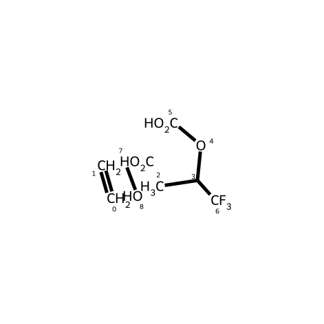 C=C.CC(OC(=O)O)C(F)(F)F.O=C(O)O